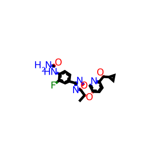 CC(Oc1ccc(C(=O)C2CC2)nc1)c1nc(-c2ccc(NC(N)=O)c(F)c2)no1